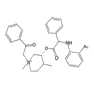 CC(=O)c1ccccc1NC(C(=O)O[C@H]1C[N+](C)(CC(=O)c2ccccc2)CCC1C)c1ccccc1